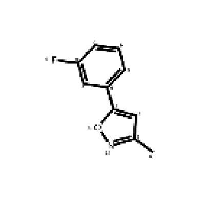 Cc1cc(-c2cccc(F)c2)on1